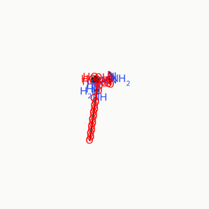 CCCCc1nc2c(N)nc3cc(C(=O)OC)ccc3c2n1Cc1ccc(CNC(=O)OCc2ccc(O[C@H]3O[C@H](CO)[C@@H](O)[C@H](O)[C@@H]3O)c(NC(=O)CCNC(=O)[C@@H](N)CCCCNC(=O)CCOCCOCCOCCOCCOCCOCCOCCOCCOCCOCCOCCOC)c2)cc1